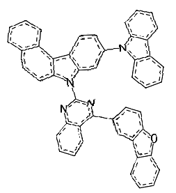 c1ccc2c(c1)ccc1c2c2ccc(-n3c4ccccc4c4ccccc43)cc2n1-c1nc(-c2ccc3oc4ccccc4c3c2)c2ccccc2n1